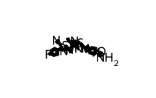 CCc1nc2sc(N3CC4(CCN(C(N)=O)CC4)C3)nn2c1N(C)c1nc(-c2ccc(F)cc2)c(C#N)s1